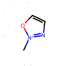 C[n+]1ncco1